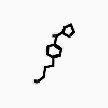 CCCCc1ccc(NC2=NCCS2)cc1